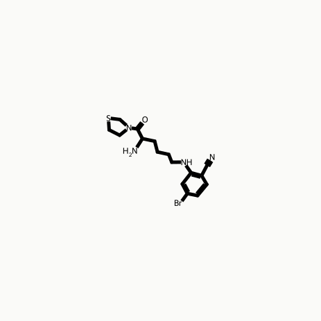 N#Cc1ccc(Br)cc1NCCCCC(N)C(=O)N1CCSC1